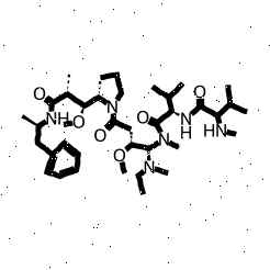 CCN(C)[C@@H]([C@@H](CC(=O)N1CCC[C@H]1[C@H](OC)[C@@H](C)C(=O)N[C@H](C)Cc1ccccc1)OC)N(C)C(=O)[C@@H](NC(=O)C(NC)C(C)C)C(C)C